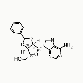 Nc1ncnc2c1ncn2[C@@H]1O[C@H](CO)[C@H]2OC(c3ccccc3)O[C@H]21